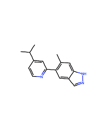 Cc1cc2[nH]ncc2cc1-c1cc(C(C)C)ccn1